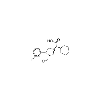 O=C[C@H]1CN([C@@H](C(=O)O)C2CCCCC2)C[C@@H]1c1cccc(F)c1